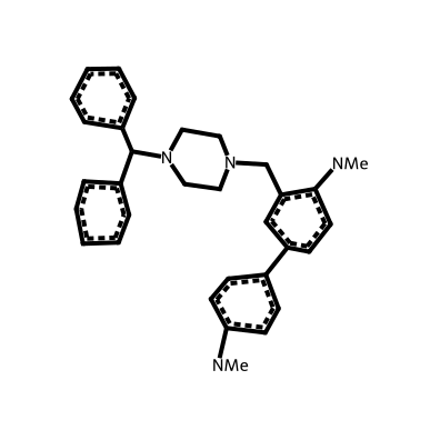 CNc1ccc(-c2ccc(NC)c(CN3CCN(C(c4ccccc4)c4ccccc4)CC3)c2)cc1